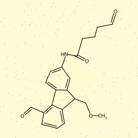 COCC1c2cc(NC(=O)CCCC=O)ccc2-c2c(C=O)cccc21